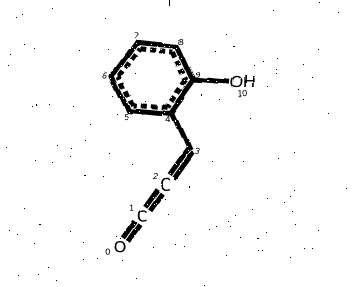 O=C=C=Cc1ccccc1O